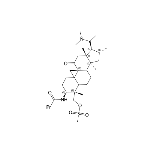 CC(C)C(=O)N[C@H]1CCC23C[C@]24C(=O)C[C@]2(C)[C@@H](C(C)N(C)C)[C@H](C)C[C@@]2(C)C4CCC3[C@]1(C)COS(C)(=O)=O